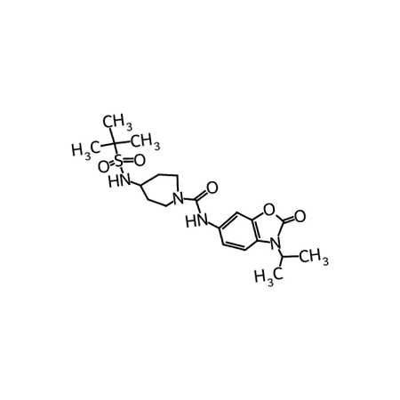 CC(C)n1c(=O)oc2cc(NC(=O)N3CCC(NS(=O)(=O)C(C)(C)C)CC3)ccc21